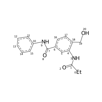 CCC(=O)Nc1cc(C(=O)Nc2ccccc2)ccc1CO